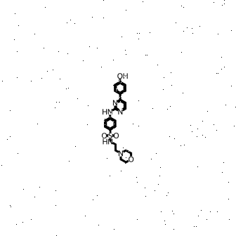 O=S(=O)(NCCN1CCOCC1)c1ccc(Nc2nccc(-c3ccc(O)cc3)n2)cc1